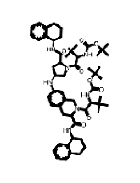 CC(C)(C)OC(=O)NC(C(=O)N1Cc2cc(N[C@H]3CC(C(=O)N[C@@H]4CCCc5ccccc54)N(C(=O)C(NC(=O)OC(C)(C)C)C(C)(C)C)C3)ccc2CC1C(=O)NC1CCCc2ccccc21)C(C)(C)C